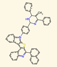 C=C1C(c2ccccc2)=NC(c2ccc(-n3c4ccccc4c4c5c(sc43)c(-c3cccc4ccccc34)nc3ccccc35)cc2)NC1c1ccccc1